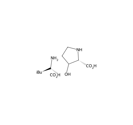 CC[C@H](C)[C@H](N)C(=O)O.O=C(O)[C@H]1NCCC1O